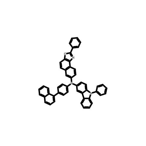 c1ccc(-c2nc3c(ccc4cc(N(c5ccc(-c6cccc7ccccc67)cc5)c5ccc6c(c5)c5ccccc5n6-c5ccccc5)ccc43)o2)cc1